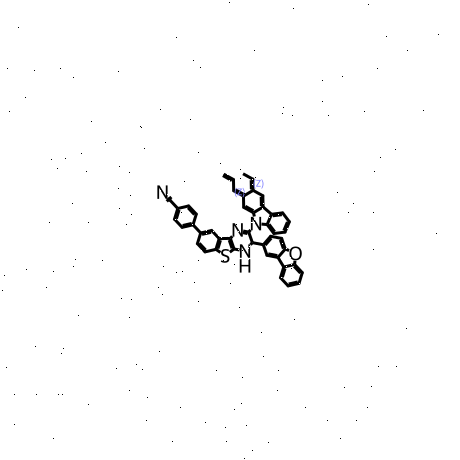 C=C/C=c1/cc2c(c/c1=C/C)c1ccccc1n2C1=Nc2c(sc3ccc(-c4ccc(C#N)cc4)cc23)NC1c1ccc2oc3ccccc3c2c1